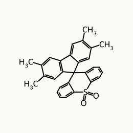 Cc1cc2c(cc1C)C1(c3cc(C)c(C)cc3-2)c2ccccc2S(=O)(=O)c2ccccc21